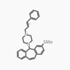 CSc1ccc2c(c1)C(N1CCN(C/C=C/c3ccccc3)CC1)c1ccccc1C=C2